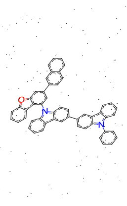 c1ccc(-n2c3ccccc3c3cc(-c4ccc5c(c4)c4ccccc4n5-c4cc(-c5ccc6ccccc6c5)cc5oc6ccccc6c45)ccc32)cc1